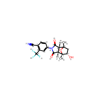 CC12C[C@H](O)[C@@](C)(O1)[C@@H]1C(=O)N(c3ccc(C#N)c(C(F)(F)F)c3)C(=O)[C@@H]12